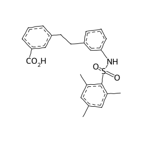 Cc1cc(C)c(S(=O)(=O)Nc2cccc(CCc3cccc(C(=O)O)c3)c2)c(C)c1